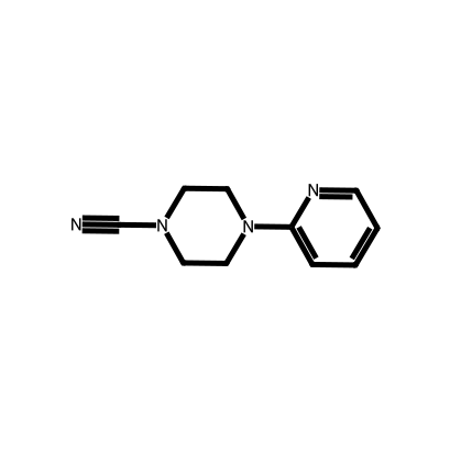 N#CN1CCN(c2ccccn2)CC1